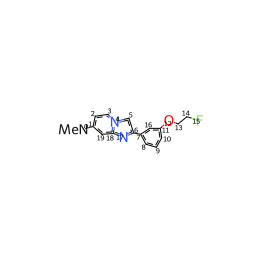 CNc1ccn2cc(-c3cccc(OCCF)c3)nc2c1